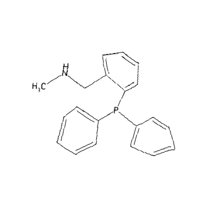 CNCc1ccccc1P(c1ccccc1)c1ccccc1